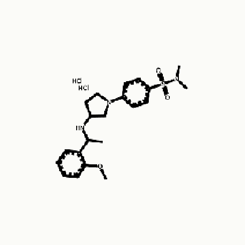 COc1ccccc1C(C)NC1CCN(c2ccc(S(=O)(=O)N(C)C)cc2)C1.Cl.Cl